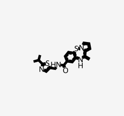 C=c1[nH]c2cc(C(=O)NCc3cnc(C(C)C)s3)ccc2sn2cccc12